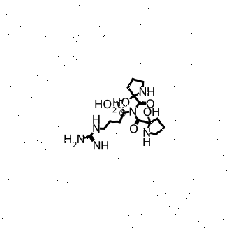 N=C(N)NCCC[C@@H](C(=O)O)N(C(=O)C1(O)CCCN1)C(=O)C1(O)CCCN1